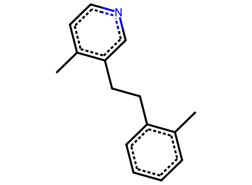 Cc1ccccc1CCc1cnccc1C